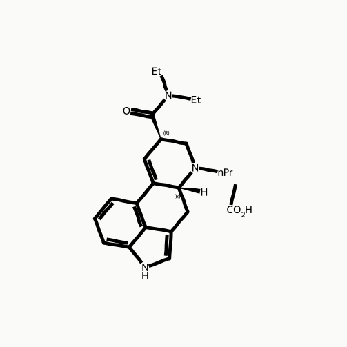 CC(=O)O.CCCN1C[C@H](C(=O)N(CC)CC)C=C2c3cccc4[nH]cc(c34)C[C@H]21